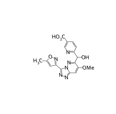 COc1cc2nnc(-c3cc(C)on3)n2nc1C(O)c1ccc(C(=O)O)cn1